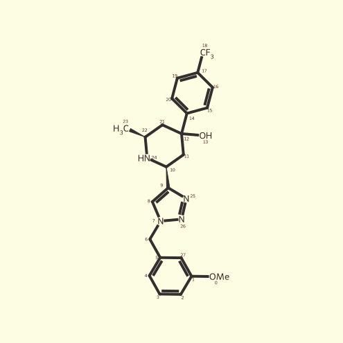 COc1cccc(Cn2cc([C@@H]3CC(O)(c4ccc(C(F)(F)F)cc4)C[C@H](C)N3)nn2)c1